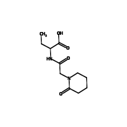 CCC(NC(=O)CN1CCCCC1=O)C(=O)O